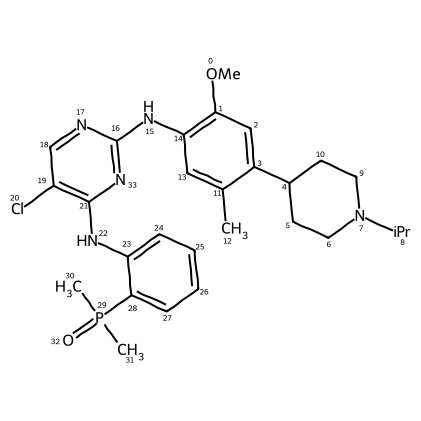 COc1cc(C2CCN(C(C)C)CC2)c(C)cc1Nc1ncc(Cl)c(Nc2ccccc2P(C)(C)=O)n1